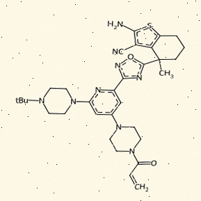 C=CC(=O)N1CCN(c2cc(-c3noc(C4(C)CCCc5sc(N)c(C#N)c54)n3)nc(N3CCN(C(C)(C)C)CC3)c2)CC1